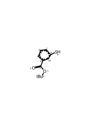 CC(C)(C)OC(=O)c1cccc(S)c1